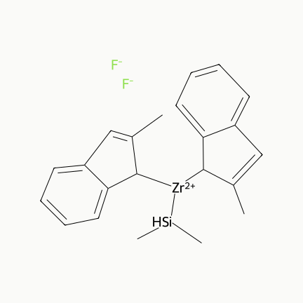 CC1=Cc2ccccc2[CH]1[Zr+2]([CH]1C(C)=Cc2ccccc21)[SiH](C)C.[F-].[F-]